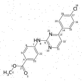 COC(=O)c1ccc(Nc2nccc(-c3ccc(Cl)cc3)n2)cc1